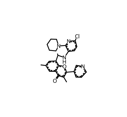 Cc1cc(C(C)Nc2ccc(Cl)nc2N2CCCCC2)c2oc(-c3cccnc3)c(C)c(=O)c2c1